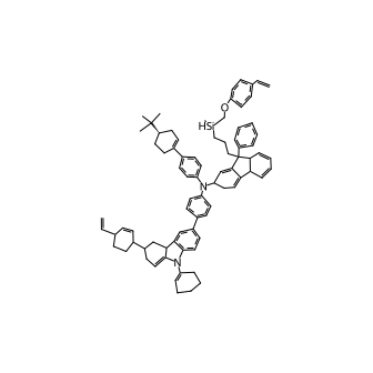 C=Cc1ccc(OC[SiH](C)CCCC2(c3ccccc3)C3=CC(N(c4ccc(C5=CC[C@H](C(C)(C)C)CC5)cc4)c4ccc(-c5ccc6c(c5)C5CC(C7C=CC(C=C)CC7)CC=C5N6C5=CCCCC5)cc4)CC=C3C3C=CC=CC32)cc1